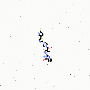 Cc1c(C(=O)N2CCN(c3ncc(-c4ccc(F)nc4)s3)CC2)cnn1-c1nn2cccc2c(=O)[nH]1